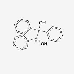 O[C@H](c1ccccc1)C(O)(c1ccccc1)c1ccccc1